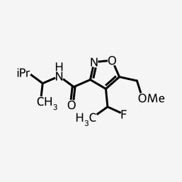 COCc1onc(C(=O)NC(C)C(C)C)c1C(C)F